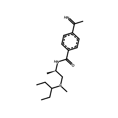 CCC(CC)N(C)C[C@@H](C)NC(=O)c1ccc(C(C)=N)cc1